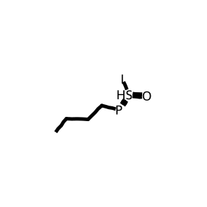 CCCCP=[SH](=O)I